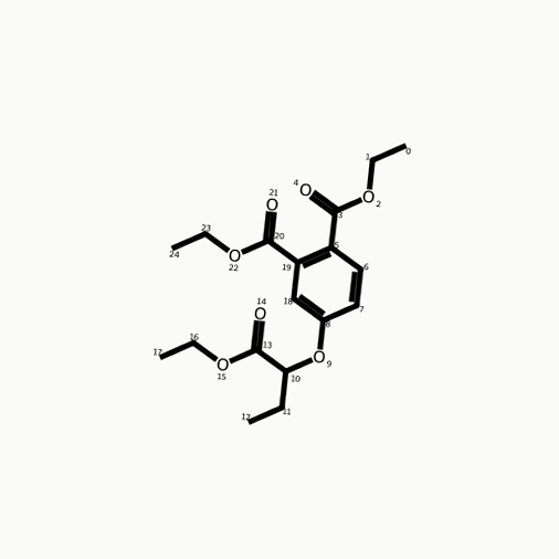 CCOC(=O)c1ccc(OC(CC)C(=O)OCC)cc1C(=O)OCC